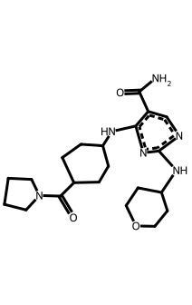 NC(=O)c1cnc(NC2CCOCC2)nc1NC1CCC(C(=O)N2CCCC2)CC1